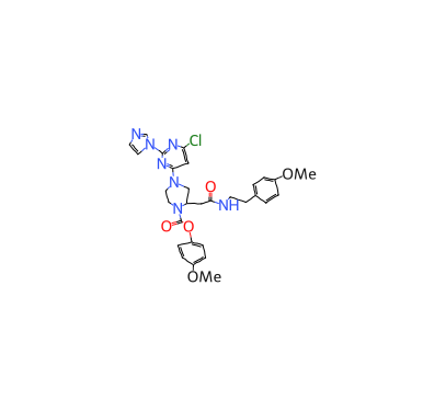 COc1ccc(CCNC(=O)CC2CN(c3cc(Cl)nc(-n4ccnc4)n3)CCN2C(=O)Oc2ccc(OC)cc2)cc1